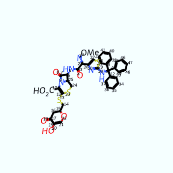 CON=C(C(=O)NC1C(=O)N2C(C(=O)O)=C(SCC3CC(=O)C(O)=CO3)SCC12)c1csc(NC(c2ccccc2)(c2ccccc2)c2ccccc2)n1